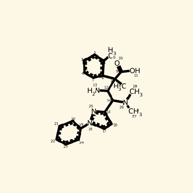 Cc1ccccc1C(C)(C(=O)O)C(N)C(c1ccn(-c2ccccc2)n1)N(C)C